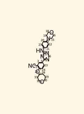 N#Cc1cc(-c2ncnc(Nc3ccc(N4CCOCC4)cc3)n2)ccc1OC1CCCOCC1